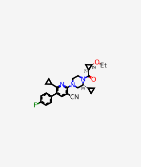 CCO[C@H]1C[C@@H]1C(=O)N1CCN(c2nc(C3CC3)c(-c3ccc(F)cc3)cc2C#N)C[C@H]1C1CC1